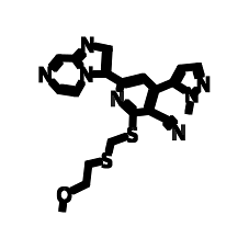 COCCSCSc1nc(-c2cnc3cnccn23)cc(-c2ccnn2C)c1C#N